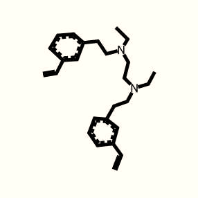 C=Cc1cccc(CCN(CC)CCN(CC)CCc2cccc(C=C)c2)c1